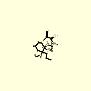 C=C(C)C(N)=O.CCCC1(OC)CCCC[Si]1(OC)OC